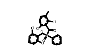 Cc1ccc(Cl)c(C(=O)P(=O)(C(=O)c2c(Cl)cccc2Cl)c2ccccc2)c1Cl